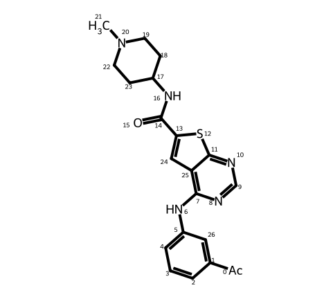 CC(=O)c1cccc(Nc2ncnc3sc(C(=O)NC4CCN(C)CC4)cc23)c1